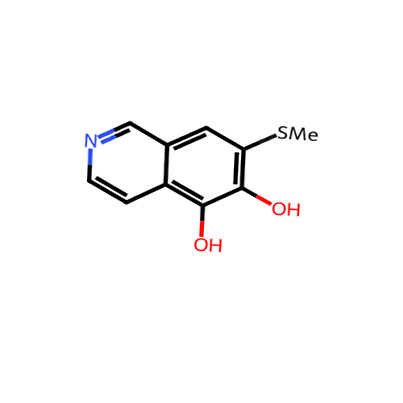 CSc1cc2cnccc2c(O)c1O